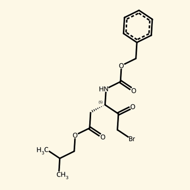 CC(C)COC(=O)C[C@H](NC(=O)OCc1ccccc1)C(=O)CBr